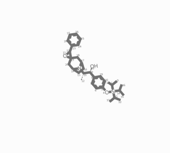 CC(C)[Si](Oc1ccc([C@@H](O)[C@H](C)N2C3CCC2CC2(C3)OC2c2ccccc2)cc1)(C(C)C)C(C)C